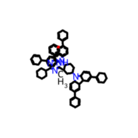 CC1(C2=NC(C3CCCCC3)=NC(c3ccccc3)N2)CC(N2C3C=CC(C4=CCCC=C4)=CC3C3C=C(C4=CCCCC4)C=CC32)CCC1n1c2ccc(C3=CCCC=C3)cc2c2cc(C3C=CC=CC3)ccc21